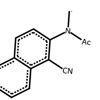 [CH2]N(C(C)=O)c1ccc2ccccc2c1C#N